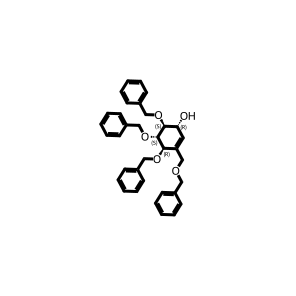 O[C@@H]1C=C(COCc2ccccc2)[C@@H](OCc2ccccc2)[C@H](OCc2ccccc2)[C@H]1OCc1ccccc1